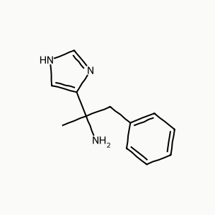 CC(N)(Cc1ccccc1)c1c[nH]cn1